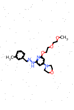 COCCOCCOc1cc(N2CCOCC2)cc(N/N=C/c2cccc(C)c2)n1